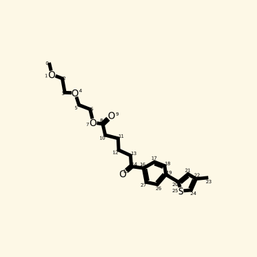 COCCOCCOC(=O)CCCCC(=O)c1ccc(-c2cc(C)cs2)cc1